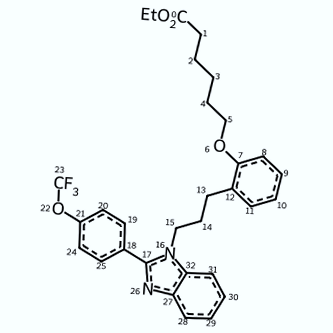 CCOC(=O)CCCCCOc1ccccc1CCCn1c(-c2ccc(OC(F)(F)F)cc2)nc2ccccc21